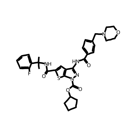 CC(C)(NC(=O)c1cc2c(NC(=O)c3ccc(CN4CCOCC4)cc3)nn(C(=O)OC3CCCC3)c2s1)c1ccccc1F